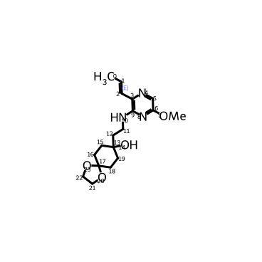 C/C=C/c1ncc(OC)nc1NCCC1(O)CCC2(CC1)OCCO2